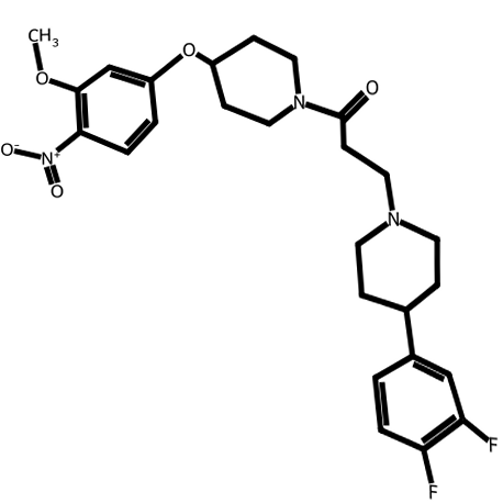 COc1cc(OC2CCN(C(=O)CCN3CCC(c4ccc(F)c(F)c4)CC3)CC2)ccc1[N+](=O)[O-]